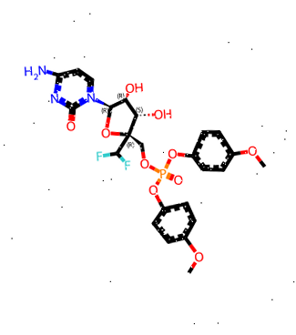 COc1ccc(OP(=O)(OC[C@@]2(C(F)F)O[C@@H](n3ccc(N)nc3=O)[C@H](O)[C@@H]2O)Oc2ccc(OC)cc2)cc1